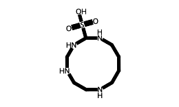 O=S(=O)(O)C1NCCCCNCCNCN1